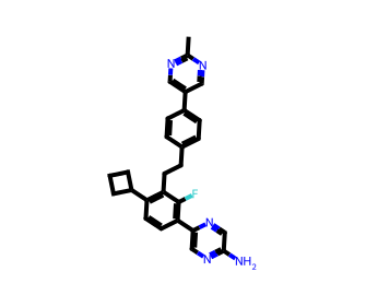 Cc1ncc(-c2ccc(CCc3c(C4CCC4)ccc(-c4cnc(N)cn4)c3F)cc2)cn1